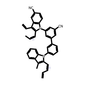 C=C/C=C\c1c(C)c2ccccc2n1-c1cccc(-c2cc(C#N)cc(-n3c(/C=C\C)c(C=C)c4cc(C#N)ccc43)c2)c1